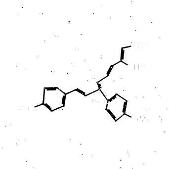 COc1ccc(C(=C\C=C\C(C)=C\C=O)/C=C/c2ccc(OC(C)=O)cc2)cc1